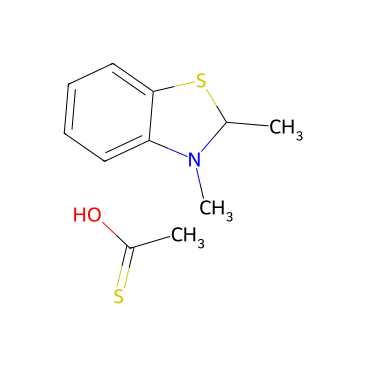 CC(O)=S.CC1Sc2ccccc2N1C